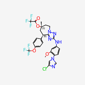 COc1cc(Nc2nc3n(n2)CC[C@@](C)(OC(=O)C(F)(F)F)C[C@@H]3c2ccc(OC(F)(F)F)cc2)ccc1-n1cnc(Cl)c1